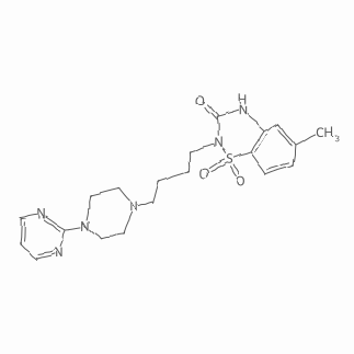 Cc1ccc2c(c1)NC(=O)N(CCCCN1CCN(c3ncccn3)CC1)S2(=O)=O